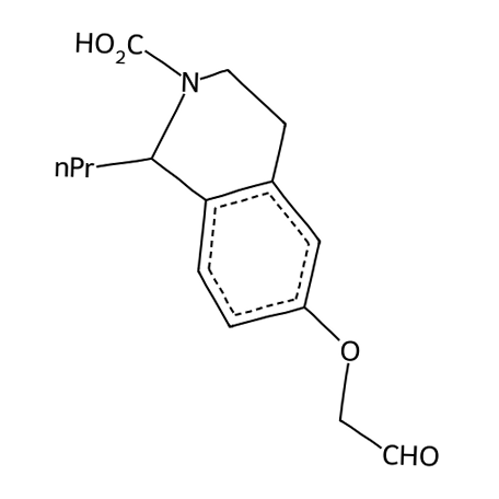 CCCC1c2ccc(OCC=O)cc2CCN1C(=O)O